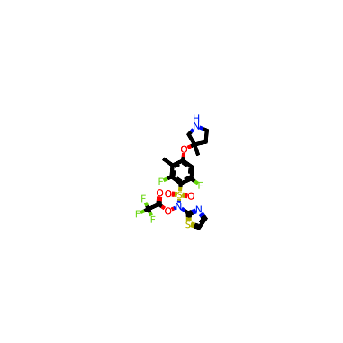 Cc1c(OC2(C)CCNC2)cc(F)c(S(=O)(=O)N(OC(=O)C(F)(F)F)c2nccs2)c1F